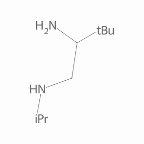 CC(C)NCC(N)C(C)(C)C